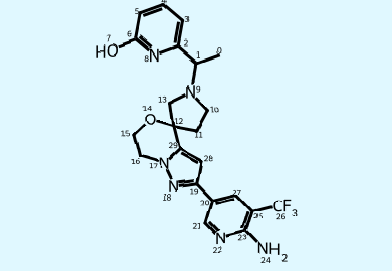 CC(c1cccc(O)n1)N1CCC2(C1)OCCn1nc(-c3cnc(N)c(C(F)(F)F)c3)cc12